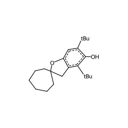 CC(C)(C)c1cc2c(c(C(C)(C)C)c1O)CC1(CCCCCC1)O2